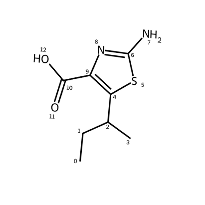 CCC(C)c1sc(N)nc1C(=O)O